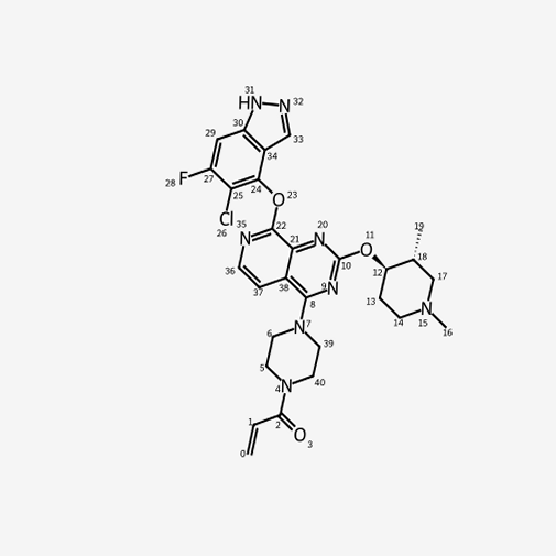 C=CC(=O)N1CCN(c2nc(O[C@@H]3CCN(C)C[C@H]3C)nc3c(Oc4c(Cl)c(F)cc5[nH]ncc45)nccc23)CC1